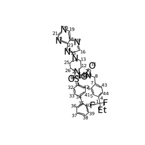 CCC(F)(F)c1ccc(CNC(=O)[C@H]2CN(c3cnc4cncnc4n3)CCN2S(=O)(=O)c2ccc(-c3ccccc3)cc2)cc1